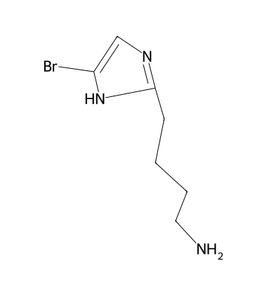 NCCCCc1ncc(Br)[nH]1